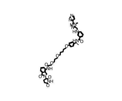 C[C@H](NC(=O)c1cccc(NCc2nnc(-c3ccncn3)n2C)c1)c1ccc(OCCCCCOCCCOCC(=O)Nc2cccc3c2CN(C2CCC(=O)NC2=O)C3=O)cc1